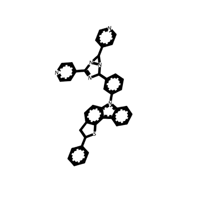 c1ccc(C2Cc3ccc4c(c3S2)c2ccccc2n4-c2cccc(C3N=C(c4ccncc4)N4C(c5ccncc5)N34)c2)cc1